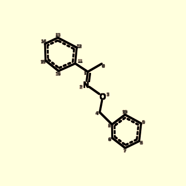 C/C(=N\OCc1ccccc1)c1ccccc1